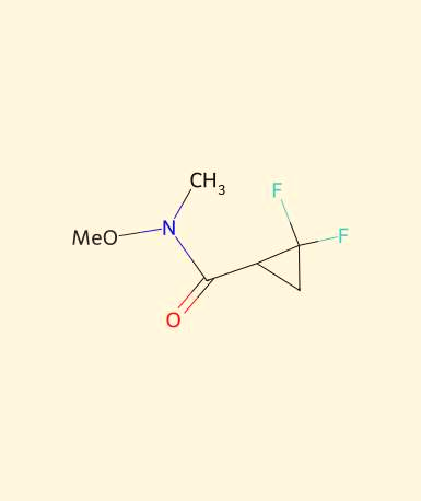 CON(C)C(=O)C1CC1(F)F